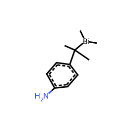 [CH3][Bi]([CH3])[C](C)(C)c1ccc(N)cc1